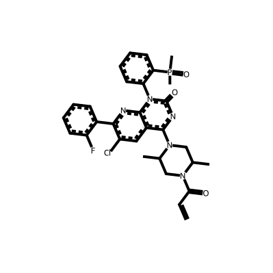 C=CC(=O)N1CC(C)N(c2nc(=O)n(-c3ccccc3P(C)(C)=O)c3nc(-c4ccccc4F)c(Cl)cc23)CC1C